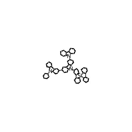 c1ccc(-n2c3ccccc3c3cc(-c4ccc5c(c4)c4cc(-n6c7ccccc7c7ccccc76)ccc4n5-c4ccc5c(c4)-c4ccccc4[Si]54c5ccccc5-c5ccccc54)ccc32)cc1